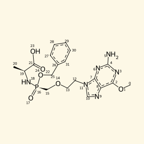 COc1nc(N)nc2c1ncn2CCOC[P@@](=O)(N[C@@H](C)C(=O)O)OCc1ccccc1